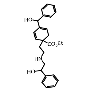 CCOC(=O)C1(CCNCC(O)c2ccccc2)C=CC(C(O)c2ccccc2)=CC1